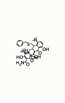 CN(C)c1ccc(O)c2c1C(CSCc1ccccc1)C1C[C@H]3[C@H](N(C)C)C(O)=C(C(N)=O)C(=O)[C@@]3(O)C(O)=C1C2=O